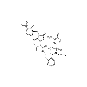 Cc1c(CN2C(=O)CN([C@H](C(=O)N[C@@H](Cc3ccccc3)[C@H](O)CN(CC(C)C)S(=O)(=O)c3ccc(Cl)c(N)c3)C(C)C)C2=O)cccc1[N+](=O)[O-]